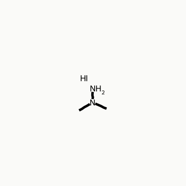 CN(C)N.I